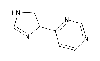 [C]1=NC(c2ccncn2)CN1